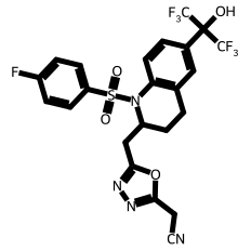 N#CCc1nnc(CC2CCc3cc(C(O)(C(F)(F)F)C(F)(F)F)ccc3N2S(=O)(=O)c2ccc(F)cc2)o1